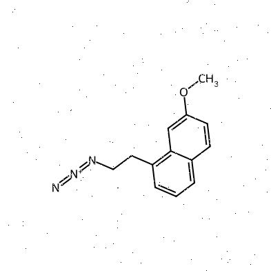 COc1ccc2cccc(CCN=[N+]=[N-])c2c1